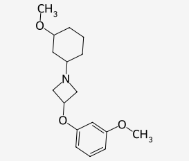 COc1cccc(OC2CN(C3CCCC(OC)C3)C2)c1